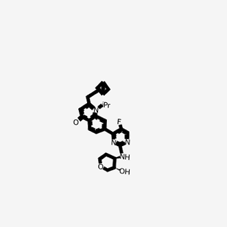 CC(C)n1c(CN2CC3CC2C3)cc(=O)c2ccc(-c3nc(N[C@@H]4CCOC[C@H]4O)ncc3F)cc21